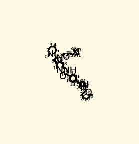 CN1CCCC[C@@H]1c1cc2cnc(NC(=O)c3ccc(-c4cnn(C5CCCCO5)c4)cc3)cc2n1COCC[Si](C)(C)C